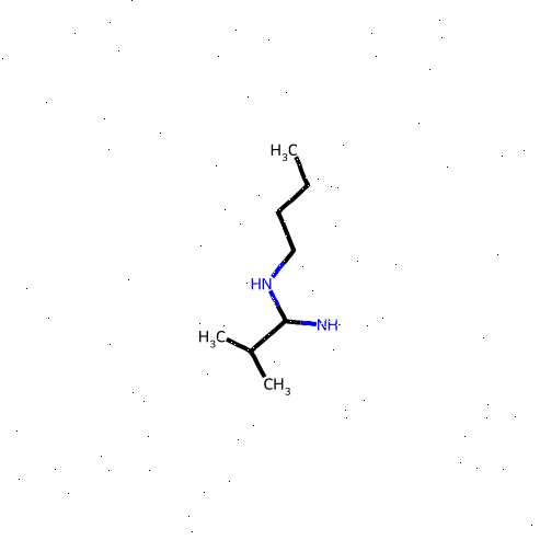 CCCCNC([NH])C(C)C